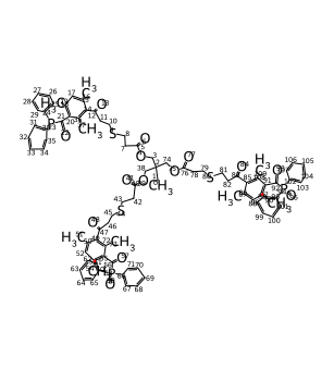 CCC(COC(=O)CCSCCC(=O)c1c(C)cc(C)c(C(=O)P(c2ccccc2)c2ccccc2)c1C)(COC(=O)CCSCCC(=O)c1c(C)cc(C)c(C(=O)P(=O)(c2ccccc2)c2ccccc2)c1C)COC(=O)CCSCCC(=O)c1c(C)cc(C)c(C(=O)P(=O)(c2ccccc2)c2ccccc2)c1C